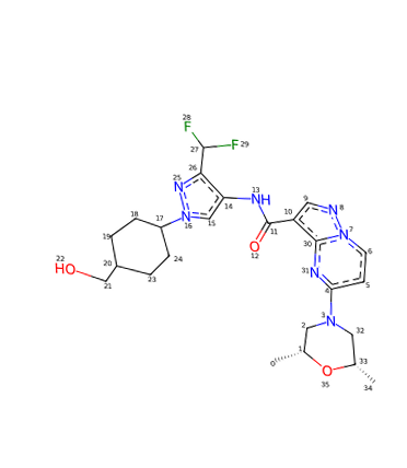 C[C@@H]1CN(c2ccn3ncc(C(=O)Nc4cn(C5CCC(CO)CC5)nc4C(F)F)c3n2)C[C@H](C)O1